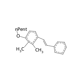 CCCCCOc1ccc(C=Cc2ccccc2)c(C)c1C